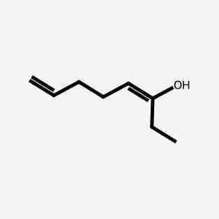 C=CCC/C=C(/O)CC